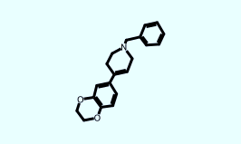 C1=C(c2ccc3c(c2)OCCO3)CCN(Cc2ccccc2)C1